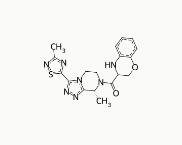 Cc1nsc(-c2nnc3n2CCN(C(=O)C2COc4ccccc4N2)[C@@H]3C)n1